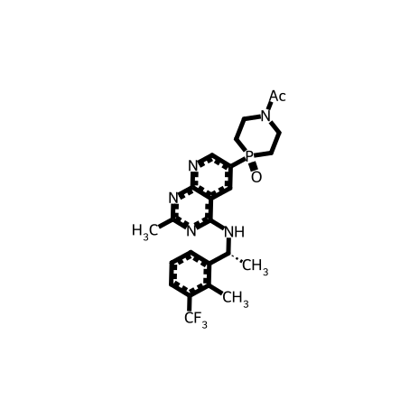 CC(=O)N1CCP(=O)(c2cnc3nc(C)nc(N[C@H](C)c4cccc(C(F)(F)F)c4C)c3c2)CC1